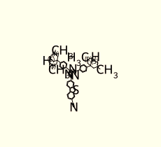 CC1C[C@H]2C[C@@H](C)CC(c3ccc(-c4nc(-c5ccc(C67C[C@H](C)C[C@H](C[C@H](C)C6)C7)cc5)nc(-c5ccc6c(c5)sc5cc(C#N)ccc56)n4)cc3)(C1)C2